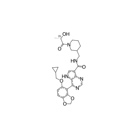 C[C@H](O)C(=O)N1CCCC(CNC(=O)c2c[nH]c3c(-c4c(OCC5CC5)ccc5c4OCO5)ncnc23)C1